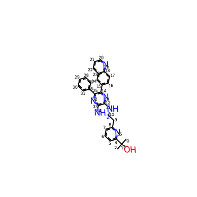 CC(C)(O)c1cccc(CCNc2nc(-c3ccc4ncccc4c3)c(-c3ccccc3)nc2N)n1